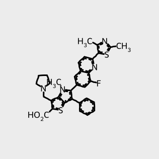 Cc1nc(C)c(-c2ccc3cc(-c4c(-c5ccccc5)c5sc(C(=O)O)c(CN6CCCC6)c5n4C)cc(F)c3n2)s1